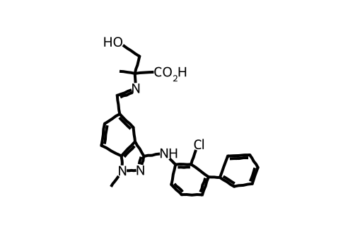 Cn1nc(Nc2cccc(-c3ccccc3)c2Cl)c2cc(C=NC(C)(CO)C(=O)O)ccc21